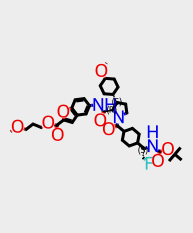 COCCCOC(=O)c1cc2cc(NC(=O)[C@H]3[C@H](C4CCC(OC)CC4)CCN3C(=O)C3CCC([C@@H](CF)NC(=O)OC(C)(C)C)CC3)ccc2o1